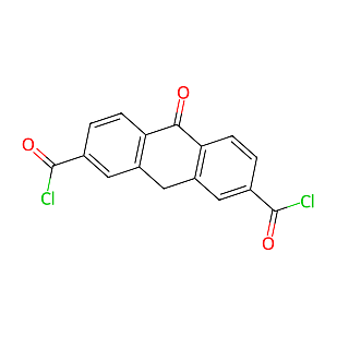 O=C(Cl)c1ccc2c(c1)Cc1cc(C(=O)Cl)ccc1C2=O